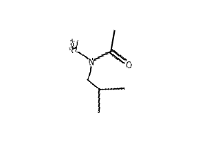 [3H]N(CC(C)C)C(C)=O